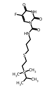 CC(C)[Si](C)(C)CCSCCCNC(=O)n1cc(F)c(=O)[nH]c1=O